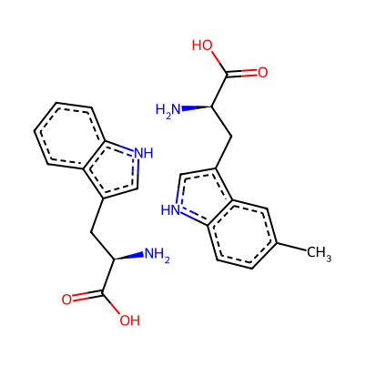 Cc1ccc2[nH]cc(C[C@@H](N)C(=O)O)c2c1.N[C@H](Cc1c[nH]c2ccccc12)C(=O)O